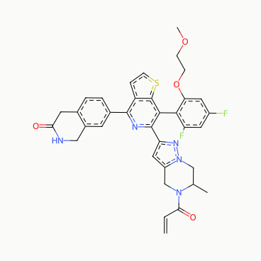 C=CC(=O)N1Cc2cc(-c3nc(-c4ccc5c(c4)CNC(=O)C5)c4ccsc4c3-c3c(F)cc(F)cc3OCCOC)nn2CC1C